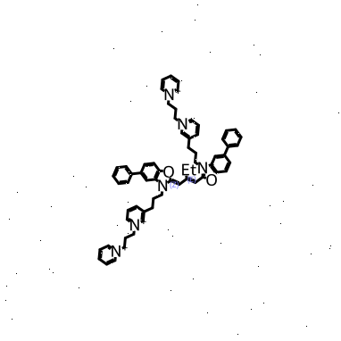 CCC(/C=C1\Oc2ccc(-c3ccccc3)cc2N1CCCc1ccc[n+](CCC[n+]2ccccc2)c1)=C\c1oc2ccc(-c3ccccc3)cc2[n+]1CCCc1ccc[n+](CCC[n+]2ccccc2)c1